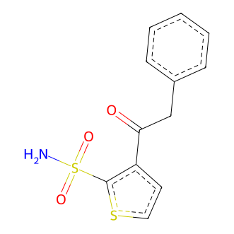 NS(=O)(=O)c1sccc1C(=O)Cc1ccccc1